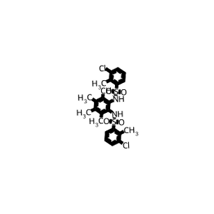 Cc1c(Cl)cccc1S(=O)(=O)Nc1c(C)c(C)c(C)c(C)c1NS(=O)(=O)c1cccc(Cl)c1C